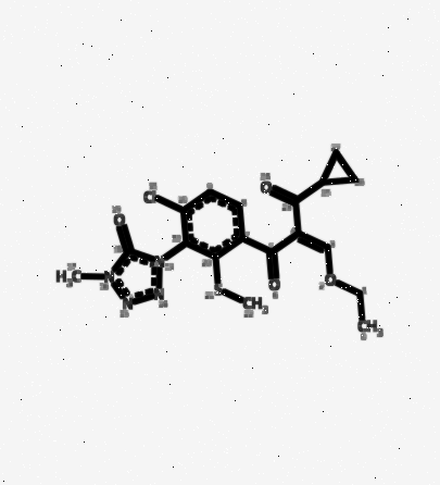 CCO/C=C(\C(=O)c1ccc(Cl)c(-n2nnn(C)c2=O)c1SC)C(=O)C1CC1